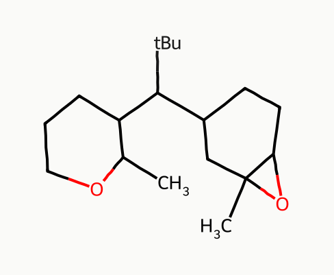 CC1OCCCC1C(C1CCC2OC2(C)C1)C(C)(C)C